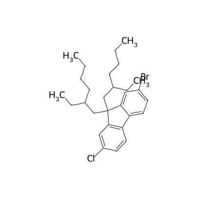 CCCCC(CC)CC1(CC(CC)CCCC)c2cc(Cl)ccc2-c2ccc(Br)cc21